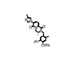 COc1cc(C)c(CN2C(=O)c3ccc(-n4cnc(C)c4)c(=O)n3C[C@H]2C)cc1C(C)C